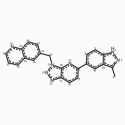 Cc1n[nH]c2ccc(-c3ccc4nnn(Cc5ccc6ncccc6c5)c4n3)cc12